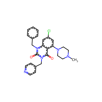 CN1CCN(c2cc(Cl)cc3c2c(=O)n(Cc2ccncc2)c(=O)n3Cc2ccccc2)CC1